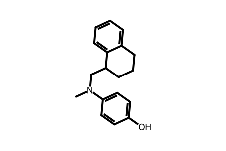 CN(CC1CCCc2ccccc21)c1ccc(O)cc1